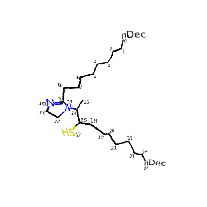 CCCCCCCCCCCCCCCCCCC1=NCCN1C(C)C(S)CCCCCCCCCCCCCCCCC